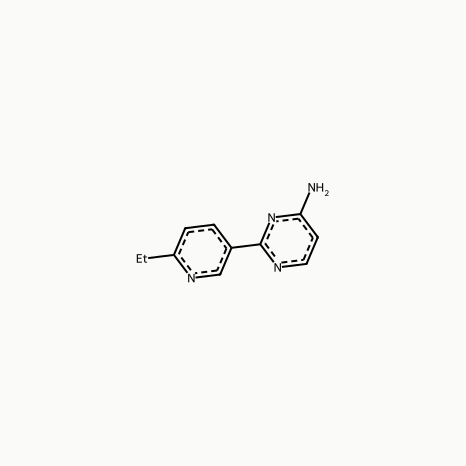 CCc1ccc(-c2nccc(N)n2)cn1